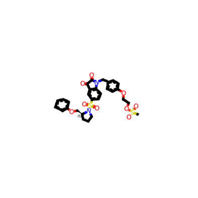 CS(=O)(=O)OCCOc1ccc(CN2C(=O)C(=O)c3cc(S(=O)(=O)N4CCC[C@H]4COc4ccccc4)ccc32)cc1